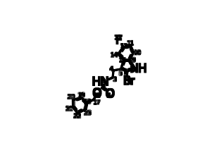 O=C(NCCc1c(Br)[nH]c2ccc(F)cc12)OCc1ccccc1